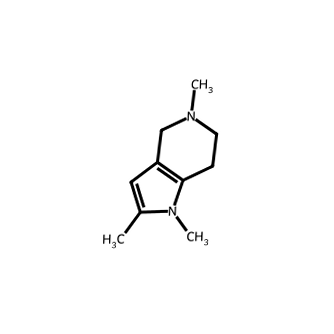 Cc1cc2c(n1C)CCN(C)C2